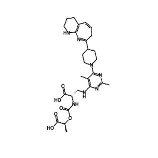 Cc1nc(NC[C@H](NC(=O)O[C@@H](C)C(=O)O)C(=O)O)c(C)c(N2CCC(C3=NC4=C(C=CC3)CCCN4)CC2)n1